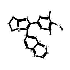 COc1c(C)cc(-c2nc3n(c2-c2ccc4nccnc4c2)CCC3)cc1C